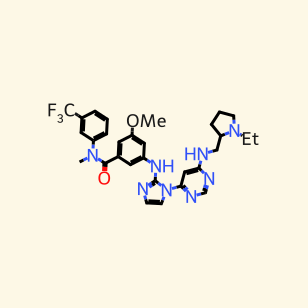 CCN1CCCC1CNc1cc(-n2ccnc2Nc2cc(OC)cc(C(=O)N(C)c3cccc(C(F)(F)F)c3)c2)ncn1